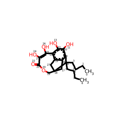 CCCCC1(CCCC)c2c(O)c(O)c3c4c2CC1(COC(=O)C(O)=C3O)C4